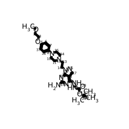 COCCOc1ccc(N2CCN(CCn3ncc4c(NNC(=O)OC(C)(C)C)nc(N)nc43)CC2)cc1